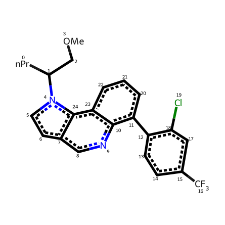 CCCC(COC)n1ccc2cnc3c(-c4ccc(C(F)(F)F)cc4Cl)cccc3c21